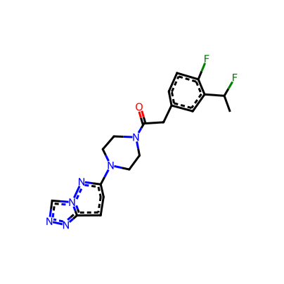 CC(F)c1cc(CC(=O)N2CCN(c3ccc4nncn4n3)CC2)ccc1F